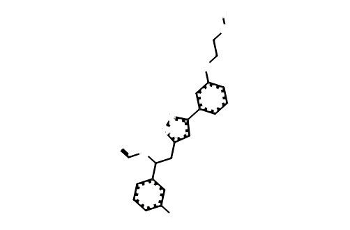 COCCOc1cccc(-c2cc(CC(OC=O)c3cccc(Cl)c3)n[nH]2)c1